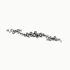 C=CC(=O)OCC(O)CCCCCCOc1ccc(C(=O)Oc2ccc(OC(=O)c3ccc(OCCCCCCC(O)COC(=O)C=C)cc3)c(Cl)c2)cc1